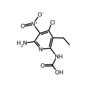 CCc1c(NC(=O)O)nc(N)c([N+](=O)[O-])c1Cl